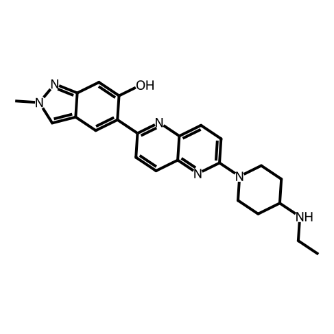 CCNC1CCN(c2ccc3nc(-c4cc5cn(C)nc5cc4O)ccc3n2)CC1